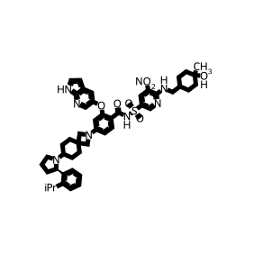 CC(C)c1ccccc1[C@H]1CCCN1C1CCC2(CC1)CN(c1ccc(C(=O)NS(=O)(=O)c3cnc(NCC4CCC(C)(O)CC4)c([N+](=O)[O-])c3)c(Oc3cnc4[nH]ccc4c3)c1)C2